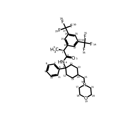 C[C@H](C(=O)NC1(c2ccccc2)CCC(CN2CCOCC2)CC1)c1cc(C(F)(F)F)cc(C(F)(F)F)c1